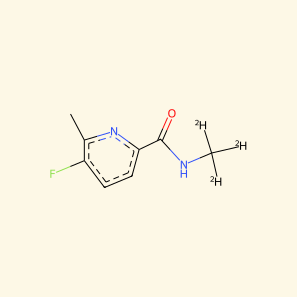 [2H]C([2H])([2H])NC(=O)c1ccc(F)c(C)n1